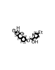 CCc1ccc([C@@H](O)COC2=CC=C(CC3SC(=O)NC3=O)CC2)nc1